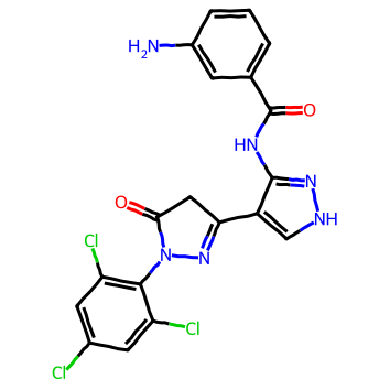 Nc1cccc(C(=O)Nc2n[nH]cc2C2=NN(c3c(Cl)cc(Cl)cc3Cl)C(=O)C2)c1